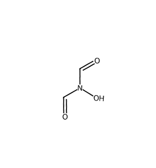 O=CN(O)C=O